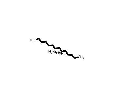 CCCCCCCCCCCCCC.CCCCN.N